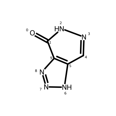 O=c1[nH]ncc2[nH]nnc12